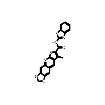 Cc1c(C(=O)Nc2nc3ccccc3s2)sc2nc3cc4c(cc3cc12)OCO4